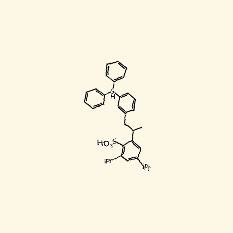 CC(C)c1cc(C(C)C)c(S(=O)(=O)O)c(C(C)Cc2cccc([SH](c3ccccc3)c3ccccc3)c2)c1